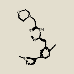 C=N/C(=C\c1cc(-c2cnn(C)c2)ccc1C)NC(=O)CN1CCOCC1